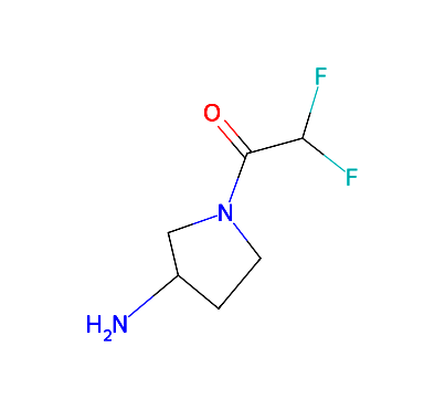 NC1CCN(C(=O)C(F)F)C1